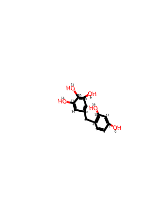 Oc1ccc(Cc2cc(O)c(O)c(O)c2)c(O)c1